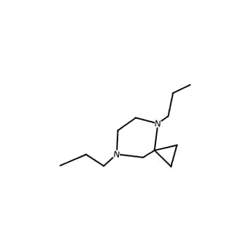 CCCN1CCN(CCC)C2(CC2)C1